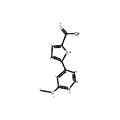 COc1cc(-c2ccc(C(=O)O)s2)ccn1